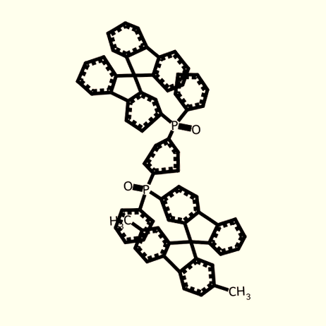 Cc1ccc2c(c1)C1(c3ccccc3-c3ccc(P(=O)(c4ccccc4)c4ccc(P(=O)(c5ccccc5)c5ccc6c(c5)C5(c7ccccc7-c7ccccc75)c5ccccc5-6)cc4)cc31)c1cc(C)ccc1-2